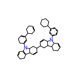 C1=CC2=C(CC1)C1C=CC(C3C=CC4C(C3)C3CCC=CC3N4c3cccc(C4CCCCC4)c3)CC1N2C1=CC(C2CC=CCC2)=CCC1